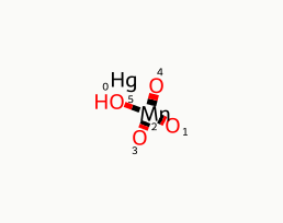 [Hg].[O]=[Mn](=[O])(=[O])[OH]